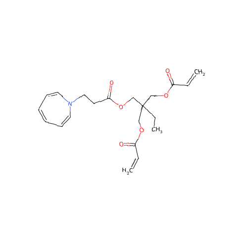 C=CC(=O)OCC(CC)(COC(=O)C=C)COC(=O)CCN1C=CC=CC=C1